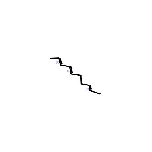 [CH2]/C=C/CC/C=C/C=C/C